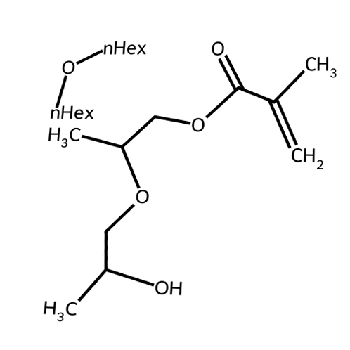 C=C(C)C(=O)OCC(C)OCC(C)O.CCCCCCOCCCCCC